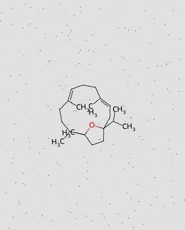 C/C1=C\CC2(C(C)C)CCC(C)(O2)C(C)CC/C(C)=C/CC1